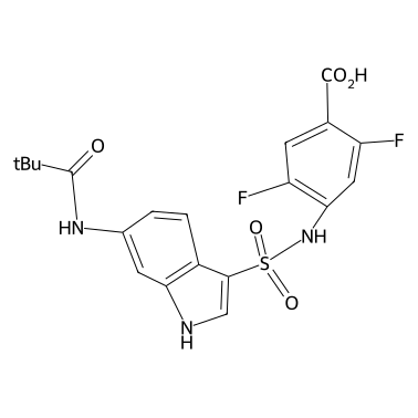 CC(C)(C)C(=O)Nc1ccc2c(S(=O)(=O)Nc3cc(F)c(C(=O)O)cc3F)c[nH]c2c1